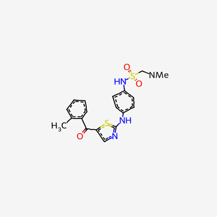 CNCS(=O)(=O)Nc1ccc(Nc2ncc(C(=O)c3ccccc3C)s2)cc1